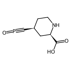 O=P#C[C@H]1CCN[C@@H](C(=O)O)C1